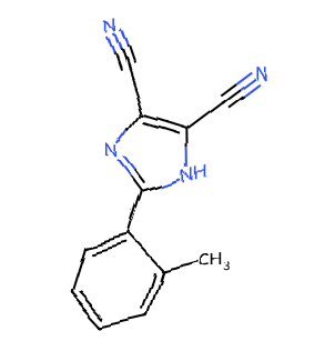 Cc1ccccc1-c1nc(C#N)c(C#N)[nH]1